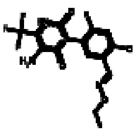 CCON=Cc1cc(-n2c(=O)[nH]c(C(F)(F)F)c(N)c2=O)c(F)cc1Cl